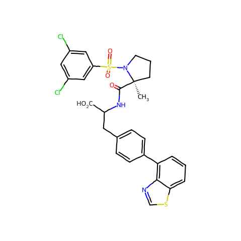 C[C@@]1(C(=O)NC(Cc2ccc(-c3cccc4scnc34)cc2)C(=O)O)CCCN1S(=O)(=O)c1cc(Cl)cc(Cl)c1